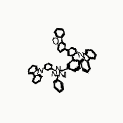 c1ccc(-c2nc(-c3cccc(-c4cc(-c5ccc6oc7ccccc7c6c5)ccc4-n4c5ccccc5c5ccccc54)c3)nc(-c3cccc(-n4c5ccccc5c5ccccc54)c3)n2)cc1